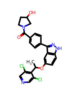 CC(Oc1ccc2[nH]nc(-c3ccc(C(=O)N4CCC(O)C4)cc3)c2c1)c1c(Cl)cncc1Cl